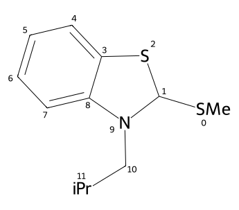 CSC1Sc2ccccc2N1CC(C)C